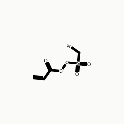 C=CC(=O)OOS(=O)(=O)CC(C)C